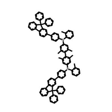 Cc1ccccc1N(c1ccc(-c2ccc3c(c2)C(c2ccccc2)(c2ccccc2)c2ccccc2-3)cc1)c1cc(C)c(-c2c(C)cc(N(c3ccc(-c4ccc5c(c4)C(c4ccccc4)(c4ccccc4)c4ccccc4-5)cc3)c3ccccc3C)cc2C)c(C)c1